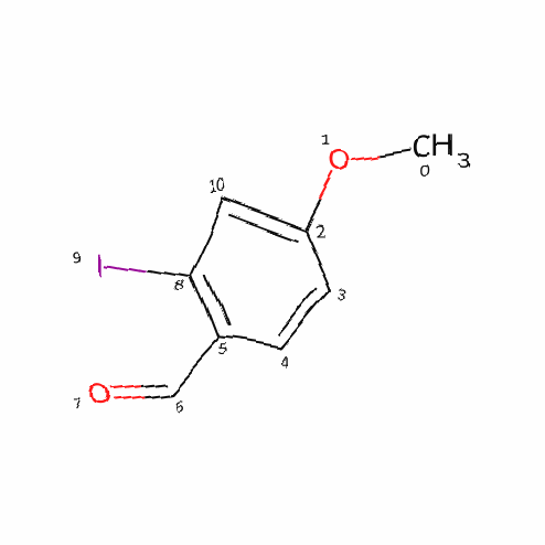 COc1ccc(C=O)c(I)c1